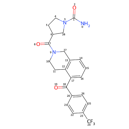 NC(=O)N1CCC(C(=O)N2CCc3c(cccc3C(=O)c3ccc(C(F)(F)F)cc3)C2)C1